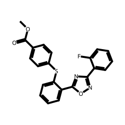 COC(=O)c1ccc(Sc2ccccc2-c2nc(-c3ccccc3F)no2)cc1